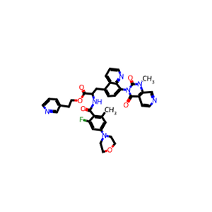 Cc1cc(N2CCOCC2)cc(F)c1C(=O)NC(Cc1ccc(-n2c(=O)c3ccncc3n(C)c2=O)c2ncccc12)C(=O)OCCc1cccnc1